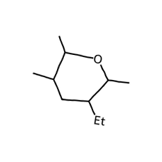 CCC1CC(C)C(C)OC1C